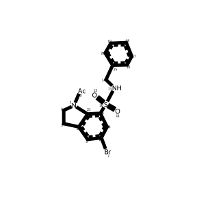 CC(=O)N1CCc2cc(Br)cc(S(=O)(=O)NCc3ccccc3)c21